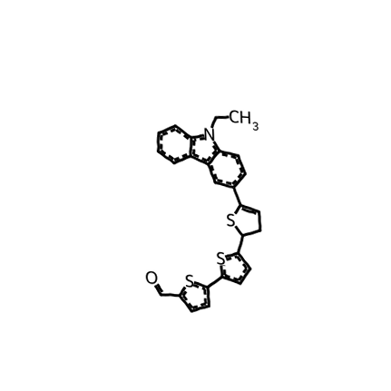 CCn1c2ccccc2c2cc(C3=CCC(c4ccc(-c5ccc(C=O)s5)s4)S3)ccc21